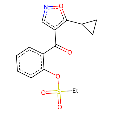 CCS(=O)(=O)Oc1ccccc1C(=O)c1cnoc1C1CC1